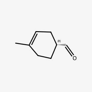 CC1=CC[C@H](C=O)CC1